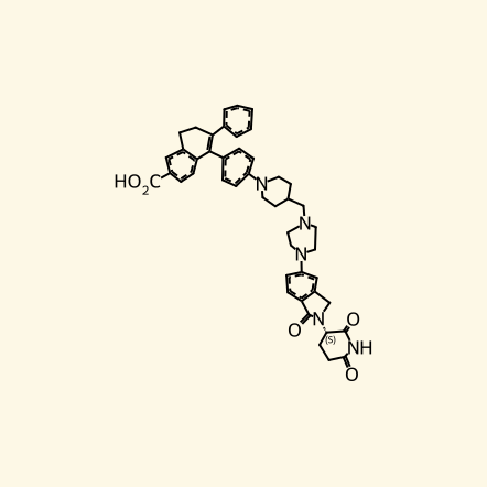 O=C1CC[C@H](N2Cc3cc(N4CCN(CC5CCN(c6ccc(C7=C(c8ccccc8)CCc8cc(C(=O)O)ccc87)cc6)CC5)CC4)ccc3C2=O)C(=O)N1